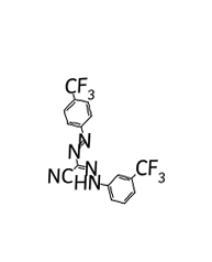 N#CC(N=Nc1ccc(C(F)(F)F)cc1)=NNc1cccc(C(F)(F)F)c1